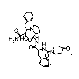 NC(=O)[C@H](O)[C@H](Cc1ccccc1)N1CCC[C@H]1C(=O)NC(=O)[C@H](Cc1ccccc1)NC(=O)N1CCC(=O)CC1